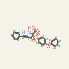 NC(CC#Cc1ccccc1)(C(=O)O)S(=O)(=O)c1ccc(Oc2ccccc2)cc1